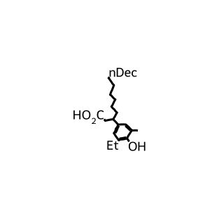 CCCCCCCCCCCCCCCCC(CC(=O)O)c1cc(C)c(O)c(CC)c1